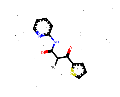 N#CC(C(=O)Nc1ccccn1)C(=O)c1cccs1